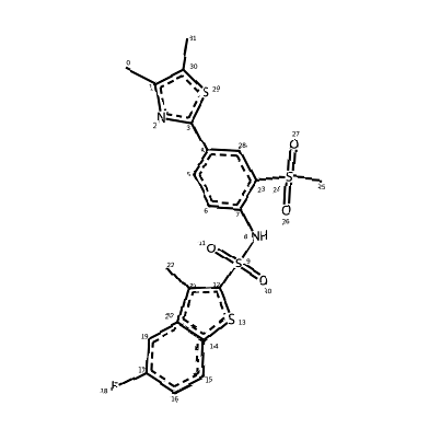 Cc1nc(-c2ccc(NS(=O)(=O)c3sc4ccc(F)cc4c3C)c(S(C)(=O)=O)c2)sc1C